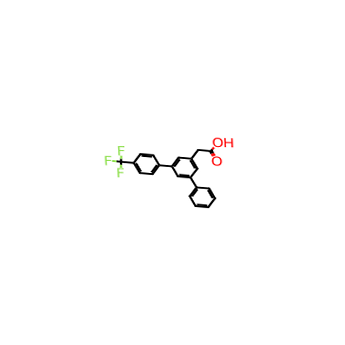 O=C(O)Cc1cc(-c2ccccc2)cc(-c2ccc(C(F)(F)F)cc2)c1